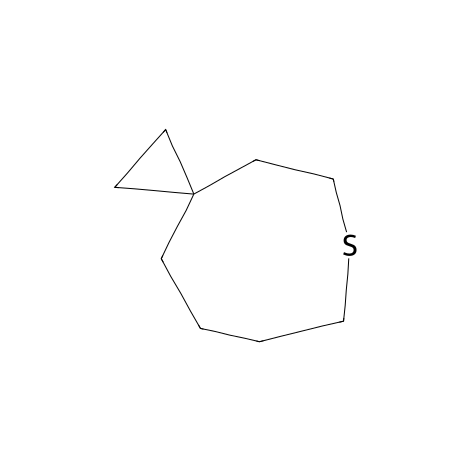 C1CCC2(CCSC1)CC2